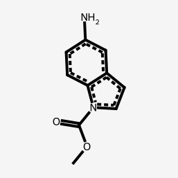 COC(=O)n1ccc2cc(N)ccc21